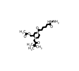 CC(=O)OCC1CN(C(=O)CCCCC(=O)NN)CCN1CC(=O)C(C)(C)C